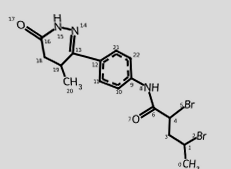 CC(Br)CC(Br)C(=O)Nc1ccc(C2=NNC(=O)CC2C)cc1